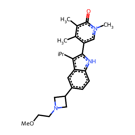 COCCN1CC(c2ccc3[nH]c(-c4cn(C)c(=O)c(C)c4C)c(C(C)C)c3c2)C1